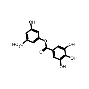 O=C(O)c1cc(O)cc(OC(=O)c2cc(O)c(O)c(O)c2)c1